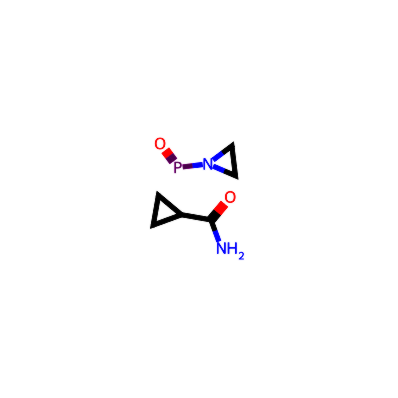 NC(=O)C1CC1.O=PN1CC1